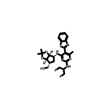 Cc1nc(NC(CF)CF)nc(N[C@@H]2C[C@H](CO)[C@H]3OC(C)(C)O[C@H]32)c1-c1nc2ccccc2s1